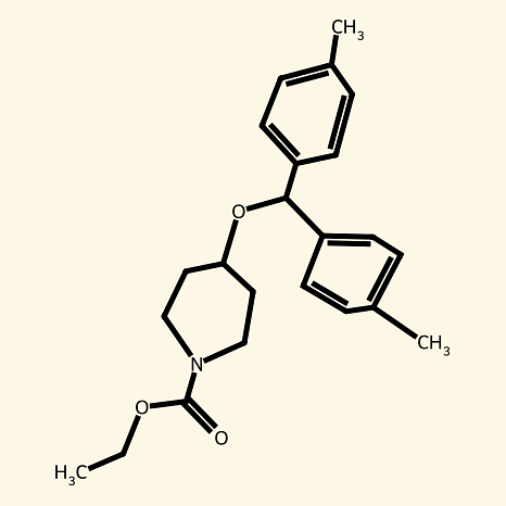 CCOC(=O)N1CCC(OC(c2ccc(C)cc2)c2ccc(C)cc2)CC1